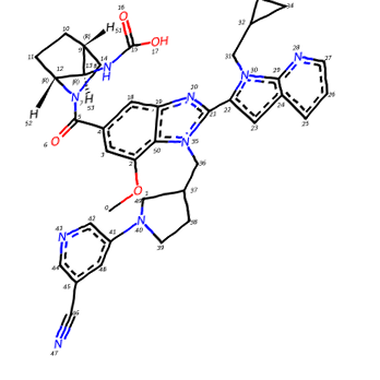 COc1cc(C(=O)N2C[C@H]3CC[C@@H]2[C@@H]3NC(=O)O)cc2nc(-c3cc4cccnc4n3CC3CC3)n(CC3CCN(c4cncc(C#N)c4)C3)c12